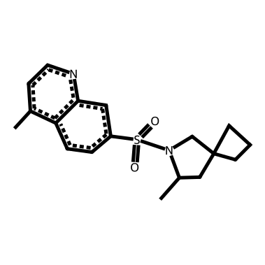 Cc1ccnc2cc(S(=O)(=O)N3CC4(CCC4)CC3C)ccc12